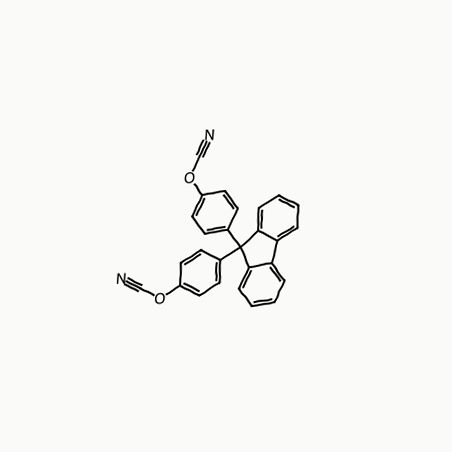 N#COc1ccc(C2(c3ccc(OC#N)cc3)c3ccccc3-c3ccccc32)cc1